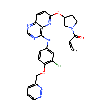 C=CC(=O)N1CCC(Oc2ccc3ncnc(Nc4ccc(OCc5cccnn5)c(Cl)c4)c3n2)C1